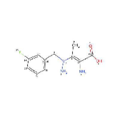 C/C(=C(/N)C(=O)O)N(N)Cc1cccc(F)c1